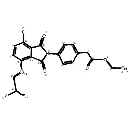 CCOC(=O)Cc1ccc(N2C(=O)c3c(Cl)ccc(OCC(F)F)c3C2=O)cc1